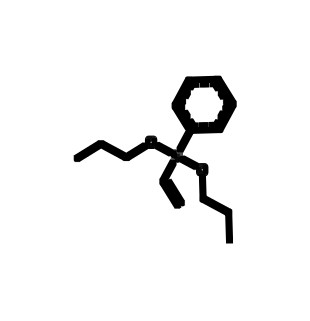 C=C[Si](OCCC)(OCCC)c1ccccc1